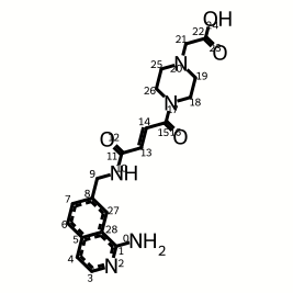 Nc1nccc2ccc(CNC(=O)C=CC(=O)N3CCN(CC(=O)O)CC3)cc12